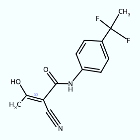 C/C(O)=C(\C#N)C(=O)Nc1ccc(C(C)(F)F)cc1